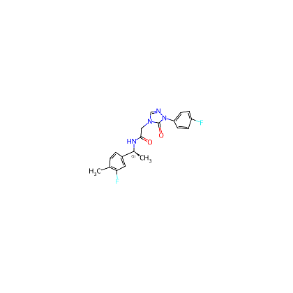 Cc1ccc([C@H](C)NC(=O)Cn2cnn(-c3ccc(F)cc3)c2=O)cc1F